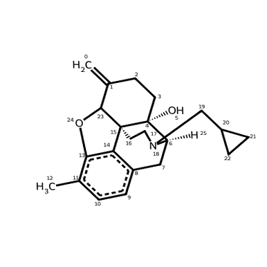 C=C1CC[C@@]2(O)[C@H]3Cc4ccc(C)c5c4[C@@]2(CCN3CC2CC2)C1O5